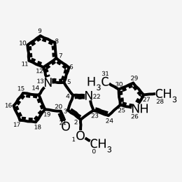 COC1=CC(c2cc3ccccc3n2-c2ccccc2C=O)=NC1=Cc1[nH]c(C)cc1C